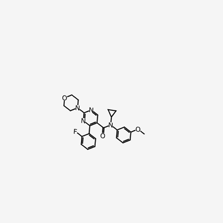 COc1cccc(N(C(=O)c2cnc(N3CCOCC3)nc2-c2ccccc2F)C2CC2)c1